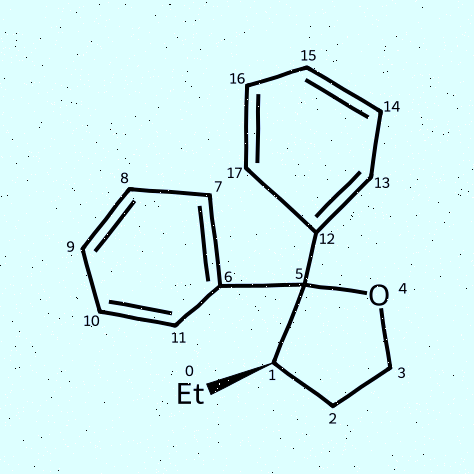 CC[C@@H]1CCOC1(c1ccccc1)c1ccccc1